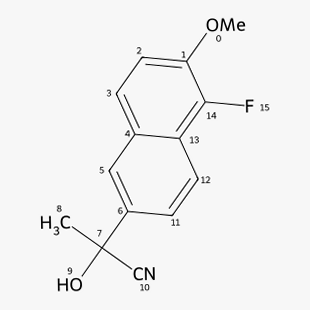 COc1ccc2cc(C(C)(O)C#N)ccc2c1F